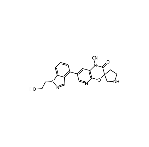 N#CN1C(=O)C2(CCNC2)Oc2ncc(-c3cccc4c3cnn4CCO)cc21